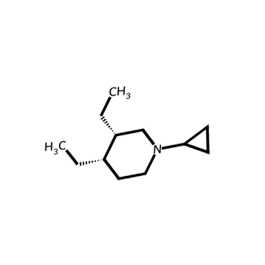 CC[C@@H]1CN(C2CC2)CC[C@@H]1CC